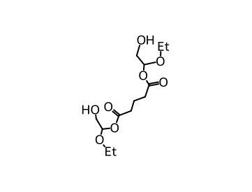 CCOC(CO)OC(=O)CCCC(=O)OC(CO)OCC